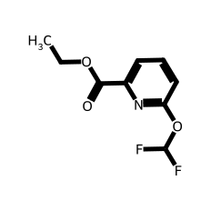 CCOC(=O)c1cccc(OC(F)F)n1